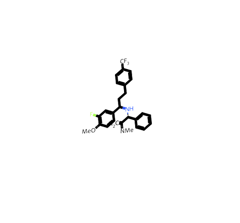 C=C(NC)[C@H](NC(CCc1ccc(C(F)(F)F)cc1)c1ccc(OC)c(F)c1)c1ccccc1